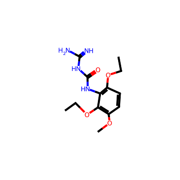 CCOc1ccc(OC)c(OCC)c1NC(=O)NC(=N)N